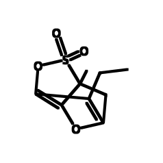 CCc1c2oc3c1OS(=O)(=O)C3(C)C2